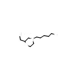 CCCCCCCCC1CN(CCCCCO)CCO1